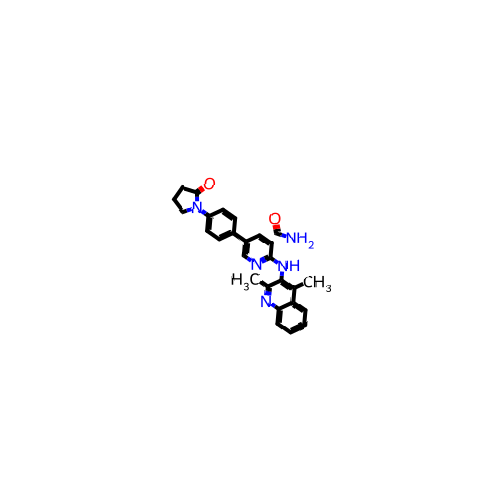 Cc1nc2ccccc2c(C)c1Nc1ccc(-c2ccc(N3CCCC3=O)cc2)cn1.NC=O